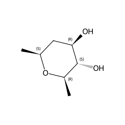 C[C@H]1C[C@@H](O)[C@H](O)[C@@H](C)O1